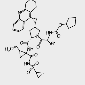 C=CC1CC1(NC(=O)[C@@H]1C[C@@H](Oc2c3c(nc4ccccc24)CCCC3)CN1C(=O)[C@@H](NC(=O)OC1CCCC1)C(C)C)C(=O)NS(=O)(=O)C1CC1